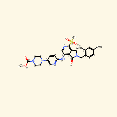 COc1ccc(CN2Cc3c(S(C)(=O)=O)ncc(Nc4ccc(N5CCN(C(=O)OC(C)(C)C)CC5)cn4)c3C2=O)c(OC)c1